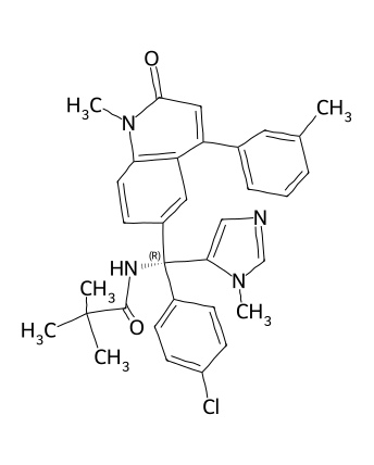 Cc1cccc(-c2cc(=O)n(C)c3ccc([C@](NC(=O)C(C)(C)C)(c4ccc(Cl)cc4)c4cncn4C)cc23)c1